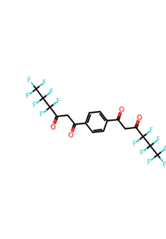 O=C(CC(=O)C(F)(F)C(F)(F)C(F)(F)F)c1ccc(C(=O)CC(=O)C(F)(F)C(F)(F)C(F)(F)F)cc1